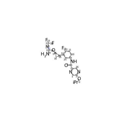 CC(C)Oc1cnc(C(=O)Nc2ccc(F)c([C@H]3C[C@H]3O/C(N)=N\C(F)F)c2)cn1